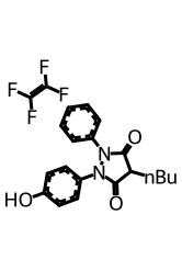 CCCCC1C(=O)N(c2ccccc2)N(c2ccc(O)cc2)C1=O.FC(F)=C(F)F